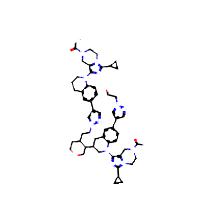 CC(=O)N1CCn2c(C3CC3)nc(N3CCCc4cc(-c5cnn(CCC6CCOCC6C6Cc7cc(-c8cnn(CCO)c8)ccc7N(c7nc(C8CC8)n8c7CN(C(C)=O)CC8)C6)c5)ccc43)c2C1